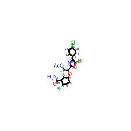 CC(=O)OCC(Oc1ccc(F)c(C(N)=O)c1F)c1nc(-c2ccc(Cl)cc2)c(Br)o1